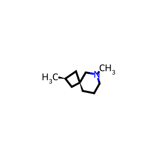 CN1CCC[C@]2(C1)C[C@H](C)C2